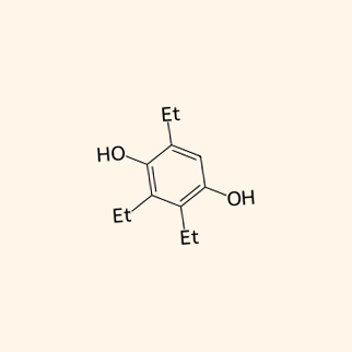 CCc1cc(O)c(CC)c(CC)c1O